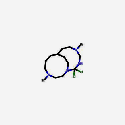 CCN1CCCC2CCN(CC)CNC(Cl)(Cl)N(CC2)CC1